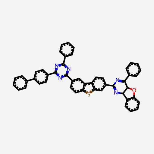 c1ccc(C2=NC(c3ccc4c(c3)sc3ccc(-c5nc(-c6ccccc6)nc(-c6ccc(-c7ccccc7)cc6)n5)cc34)=NC3c4ccccc4OC23)cc1